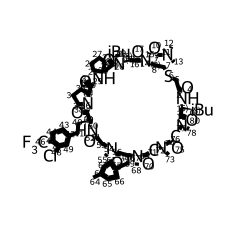 CC[C@H](C)[C@@H]1NC(=O)CSC[C@@H](C(=O)N(C)C)N(C)C(=O)[C@H]([C@@H](C)CC)N(C)C(=O)C2(CCCC2)NC(=O)[C@@H]2CCCN2C(=O)[C@H](CCc2ccc(C(F)(F)F)c(Cl)c2)NC(=O)CN(C)C(=O)[C@H](Cc2ccc(C)cc2)N(C)C(=O)CN(C)C(=O)CN(C)C1=O